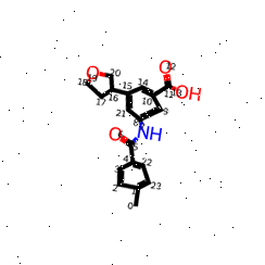 Cc1ccc(C(=O)Nc2cc(C(=O)O)cc(C3CCOC3)c2)cc1